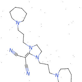 N#CC(C#N)=C1N(CCCN2CCCCCC2)CCN1CCCN1CCCCCC1